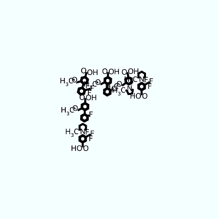 COCc1cc(C(=O)O)ccc1-c1ccccc1C(F)(F)F.COCc1cc(C(=O)O)ccc1-c1ccccc1Cl.COCc1cc(C(=O)O)ccc1-c1ccccc1F.COCc1cc(C(=O)O)ccc1N1CCCC1C.C[C@@H]1CCCCN1c1ccc(C(=O)O)cc1C(F)(F)F.C[C@H]1CCCCN1c1ccc(C(=O)O)cc1C(F)(F)F